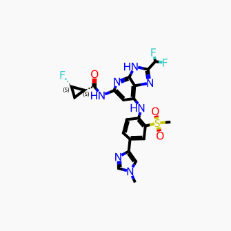 Cn1cnc(-c2ccc(Nc3cc(NC(=O)[C@@H]4C[C@@H]4F)nc4[nH]c(C(F)F)nc34)c(S(C)(=O)=O)c2)c1